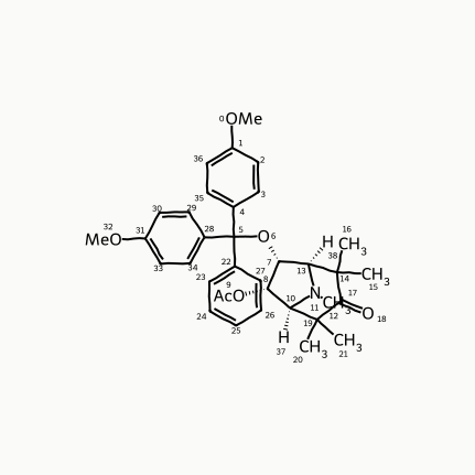 COc1ccc(C(O[C@H]2[C@@H](OC(C)=O)[C@H]3N(C)[C@@H]2C(C)(C)C(=O)C3(C)C)(c2ccccc2)c2ccc(OC)cc2)cc1